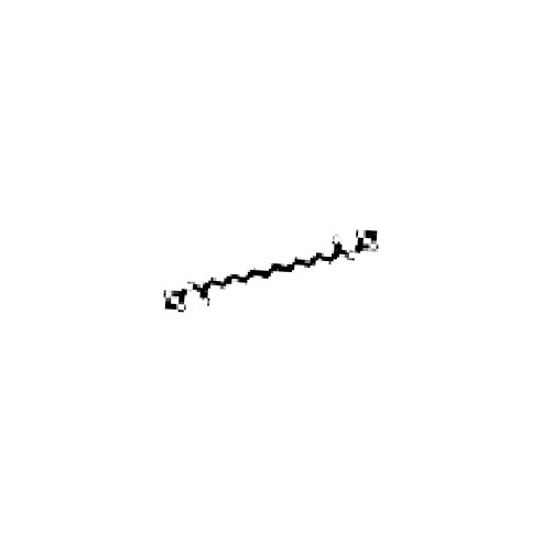 O=C(CCCCCCCCCCCCC(=O)OC1OCO1)OC1OCO1